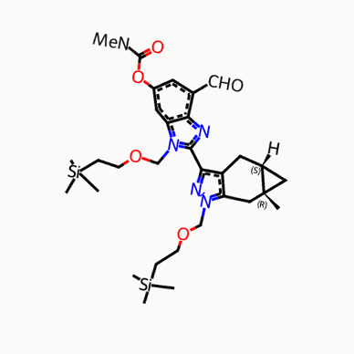 CNC(=O)Oc1cc(C=O)c2nc(-c3nn(COCC[Si](C)(C)C)c4c3C[C@@H]3C[C@]3(C)C4)n(COCC[Si](C)(C)C)c2c1